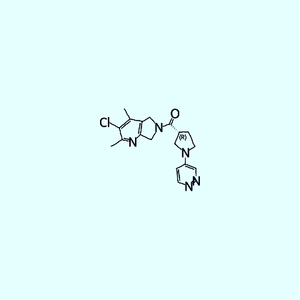 Cc1nc2c(c(C)c1Cl)CN(C(=O)[C@@H]1CCN(c3ccnnc3)C1)C2